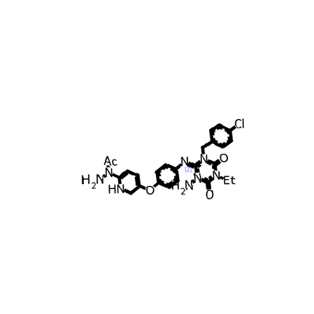 CCn1c(=O)n(N)/c(=N\c2ccc(OC3=CC=C(N(N)C(C)=O)NC3)cc2)n(Cc2ccc(Cl)cc2)c1=O